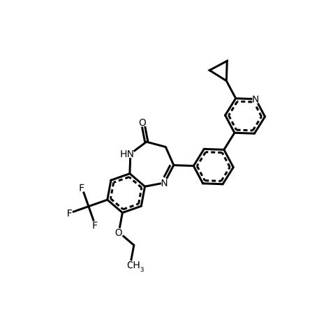 CCOc1cc2c(cc1C(F)(F)F)NC(=O)CC(c1cccc(-c3ccnc(C4CC4)c3)c1)=N2